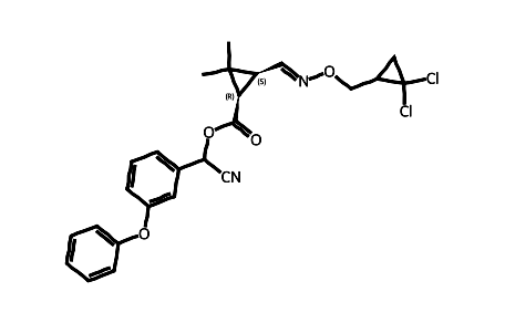 CC1(C)[C@H](C(=O)OC(C#N)c2cccc(Oc3ccccc3)c2)[C@@H]1C=NOCC1CC1(Cl)Cl